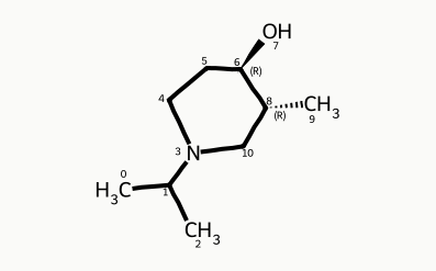 CC(C)N1CC[C@@H](O)[C@H](C)C1